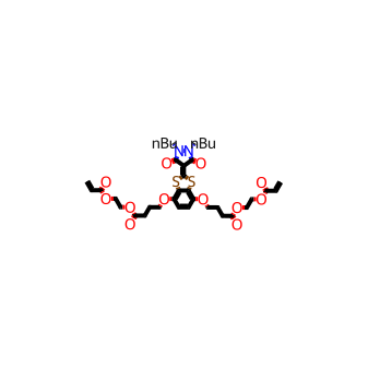 C=CC(=O)OCCOC(=O)CCCOc1ccc(OCCCC(=O)OCCOC(=O)C=C)c2c1SC(=C1C(=O)N(CCCC)N(CCCC)C1=O)S2